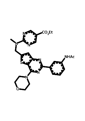 CCOC(=O)c1cnc(N(C)Cc2cc3nc(-c4cccc(NC(C)=O)c4)nc(N4CCOCC4)c3s2)nc1